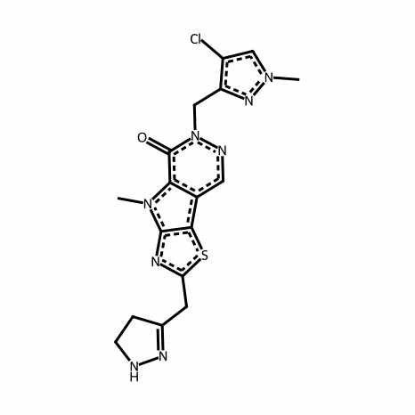 Cn1cc(Cl)c(Cn2ncc3c4sc(CC5=NNCC5)nc4n(C)c3c2=O)n1